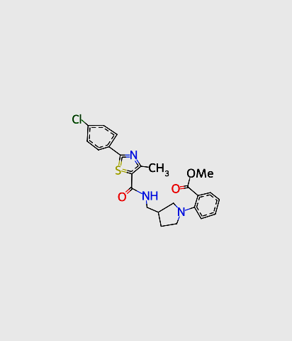 COC(=O)c1ccccc1N1CCC(CNC(=O)c2sc(-c3ccc(Cl)cc3)nc2C)C1